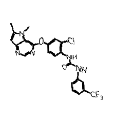 Cc1cc2ncnc(Oc3ccc(NC(=O)Nc4cccc(C(F)(F)F)c4)c(Cl)c3)c2n1C